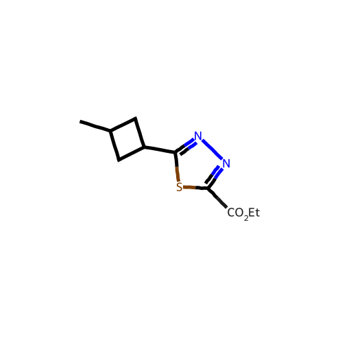 CCOC(=O)c1nnc(C2CC(C)C2)s1